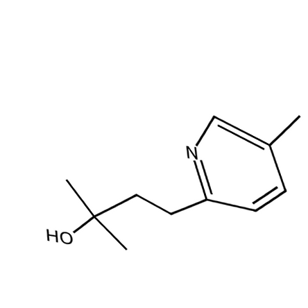 Cc1ccc(CCC(C)(C)O)nc1